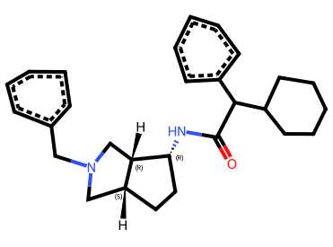 O=C(N[C@@H]1CC[C@@H]2CN(Cc3ccccc3)C[C@@H]21)C(c1ccccc1)C1CCCCC1